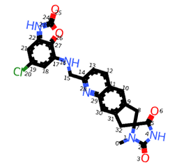 CN1C(=O)NC(=O)C12Cc1cc3ccc(CNc4cc(Cl)cc5[nH]c(=O)oc45)nc3cc1C2